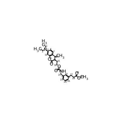 CCN(CC)c1ccc2c(c1)OC(=O)C(CCOC(=O)NCc1cccc(CCC(=O)OC)c1)C2C